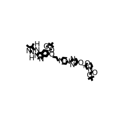 Cc1n[nH]c(Nc2ncnc3cc(OCCCN4CCN(c5ncc(OC[C@H]6CN(C(=O)OC(C)(C)C)CCO6)cn5)CC4)c(S(=O)(=O)C(C)(C)C)cc23)c1C